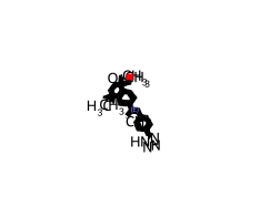 CC/C(=C\c1ccc(-c2nnn[nH]2)cc1)c1ccc2c(c1)C(CC)(CC)CC(=O)C2(CC)CC